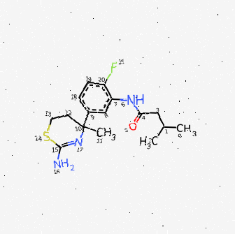 CC(C)CC(=O)Nc1cc(C2(C)CCSC(N)=N2)ccc1F